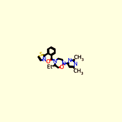 CC[C@@H]1CON(c2cc(C)nc(C)n2)CCN1C(=O)c1ccccc1-c1nccs1